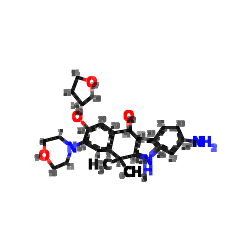 CC1(C)c2cc(N3CCOCC3)c(O[C@@H]3CCOC3)cc2C(=O)c2c1[nH]c1cc(N)ccc21